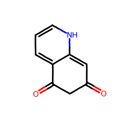 O=C1C=C2NC=CC=C2C(=O)C1